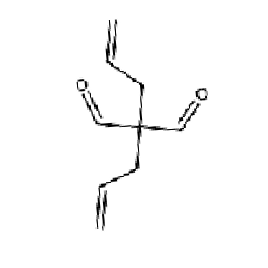 C=CCC(C=O)(C=O)CC=C